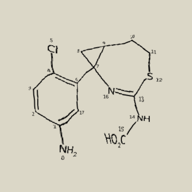 Nc1ccc(Cl)c(C23CC2CCSC(NC(=O)O)=N3)c1